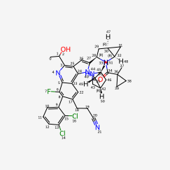 CC(O)c1nc2c(F)c(-c3cccc(Cl)c3Cl)c(CCC#N)cc2c2c1cc([C@H]1C[C@H]3C[C@H]3N1C(=O)C1(C)CC1)n2[C@H]1[C@H]2CN[C@@H]1C2